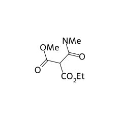 CCOC(=O)C(C(=O)NC)C(=O)OC